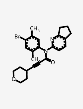 Cc1cc(N(C(=O)C#CC2CCOCC2)c2ccc3c(n2)CCC3)c(C)cc1Br